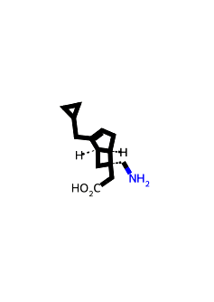 NC[C@]1(CC(=O)O)C[C@H]2C(CC3CC3)=CC[C@H]21